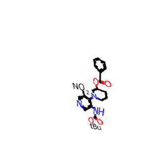 CC(C)(C)OC(=O)Nc1cncc([N+](=O)[O-])c1N1CCCC(OC(=O)c2ccccc2)C1